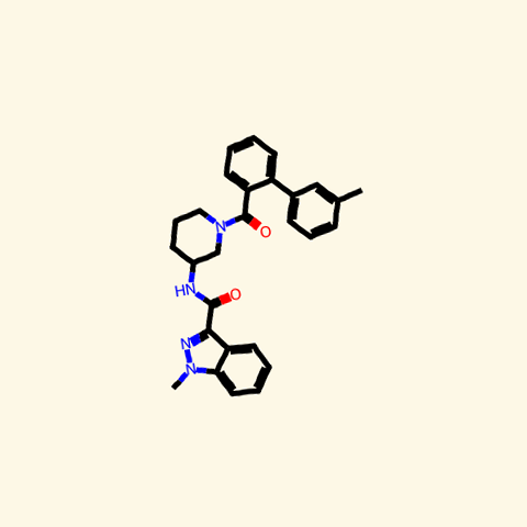 Cc1cccc(-c2ccccc2C(=O)N2CCCC(NC(=O)c3nn(C)c4ccccc34)C2)c1